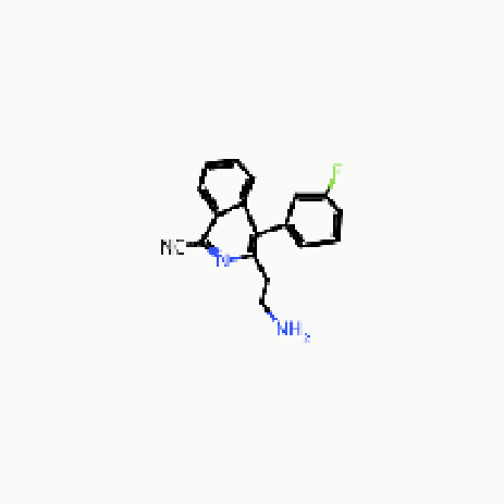 N#Cc1nc(CCN)c(-c2cccc(F)c2)c2ccccc12